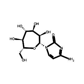 Nc1ccn([C@@H]2O[C@H](CO)[C@@H](O)[C@H](O)[C@@H](O)[C@H]2O)c(=O)n1